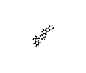 CC1(C)O/C(=C2/C(=O)Nc3cc(F)ccc32)C=C1c1ccc(CN2CCOCC2)cc1